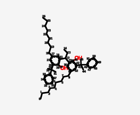 CCCCCCCCCc1cc(C(CC)c2cc(CCCCCCCCC)cc(C(C)(C)c3ccccc3)c2O)c(O)c(C(C)(C)c2ccccc2)c1